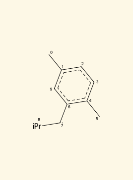 Cc1ccc(C)c([CH]C(C)C)c1